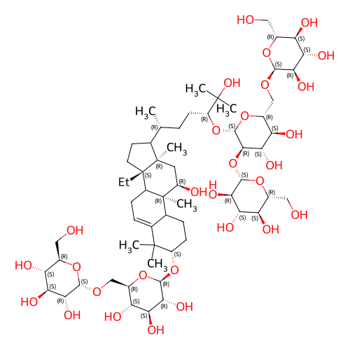 CC[C@@]12CCC([C@H](C)CC[C@@H](O[C@@H]3O[C@H](CO[C@H]4O[C@H](CO)[C@@H](O)[C@H](O)[C@H]4O)[C@@H](O)[C@H](O)[C@H]3O[C@@H]3O[C@H](CO)[C@@H](O)[C@H](O)[C@H]3O)C(C)(C)O)[C@@]1(C)C[C@@H](O)[C@@]1(C)C3CC[C@H](O[C@@H]4O[C@H](CO[C@H]5O[C@H](CO)[C@@H](O)[C@H](O)[C@H]5O)[C@@H](O)[C@H](O)[C@H]4O)C(C)(C)C3=CCC12